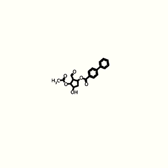 CC(=O)OC1C(O)CC(OC(=O)c2ccc(-c3ccccc3)cc2)C1C=O